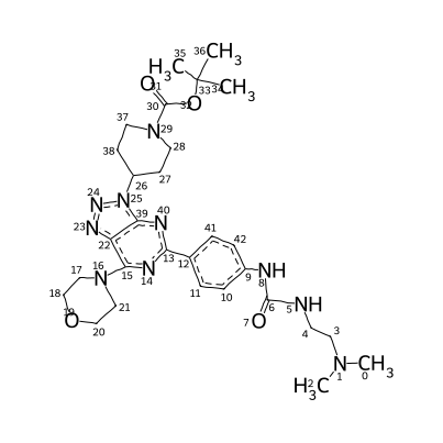 CN(C)CCNC(=O)Nc1ccc(-c2nc(N3CCOCC3)c3nnn(C4CCN(C(=O)OC(C)(C)C)CC4)c3n2)cc1